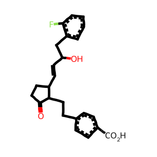 O=C(O)c1ccc(CCC2C(=O)CCC2C=CC(O)Cc2ccccc2F)cc1